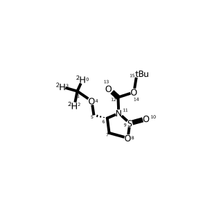 [2H]C([2H])([2H])OC[C@H]1COS(=O)N1C(=O)OC(C)(C)C